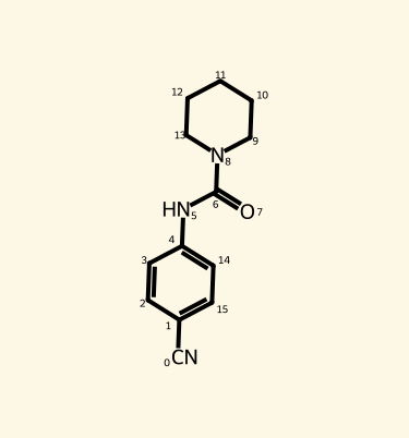 N#Cc1ccc(NC(=O)N2CCCCC2)cc1